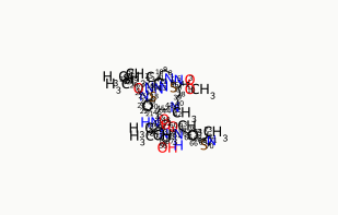 COC(=O)c1nc(N2CCCc3c2nnc(/N=c2\sc4ccccc4n2COCC[Si](C)(C)C)c3C)sc1CCCN(C)CCCCC(=O)NC(C(=O)N1C[C@H](O)C[C@H]1C(=O)NC(C)c1ccc(-c2scnc2C)cc1)C(C)(C)C